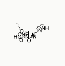 CCCCCOC(=O)NC(CNC(=O)c1cnn(CCc2ccc3c(n2)NCCC3)c1)C(=O)O